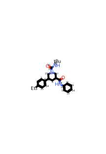 CCc1ccc(C2CC(C(=O)Nc3ccccc3)CN(C(=O)NC(C)(C)C)C2)cc1